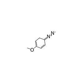 COC1=CCC(=[N+]=[N-])C=C1